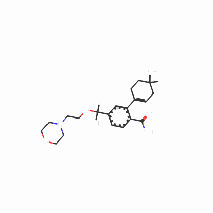 CC1(C)CC=C(c2cc(C(C)(C)OCCN3CCOCC3)ccc2C(N)=O)CC1